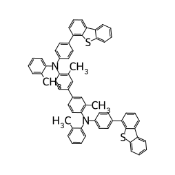 Cc1ccccc1N(c1ccc(-c2cccc3c2sc2ccccc23)cc1)c1ccc(-c2ccc(N(c3ccc(-c4cccc5c4sc4ccccc45)cc3)c3ccccc3C)c(C)c2)cc1C